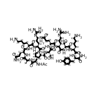 CC(=O)N[C@@H](C)C(=O)N[C@@H](C)C(=O)N[C@@H](CCC(N)=O)C(=O)N[C@@H](CCCCN)C(=O)N[C@@H](CCCN=C(N)N)C(=O)N1CCC[C@H]1C(=O)N[C@@H](CO)C(=O)N[C@@H](CCC(N)=O)C(=O)N[C@@H](CCCN=C(N)N)C(=O)N[C@@H](CO)C(=O)N[C@@H](CCCCN)C(=O)N[C@@H](Cc1ccc(O)cc1)C(N)=O